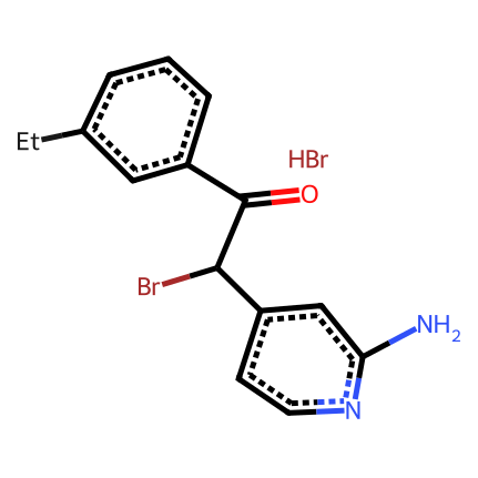 Br.CCc1cccc(C(=O)C(Br)c2ccnc(N)c2)c1